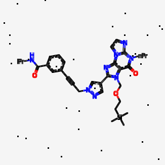 CCCn1c(=O)c2c(nc(-c3cnn(CC#Cc4cccc(C(=O)NC(C)C)c4)c3)n2COCC[Si](C)(C)C)n2ccnc12